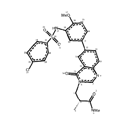 CNC(=O)[C@H](C)Cn1cnc2ccc(-c3cnc(OC)c(NS(=O)(=O)c4ccc(Cl)cc4)c3)cc2c1=O